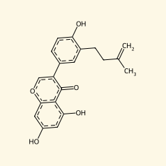 C=C(C)CCc1cc(-c2coc3cc(O)cc(O)c3c2=O)ccc1O